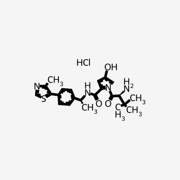 Cc1ncsc1-c1ccc([C@H](C)NC(=O)c2cc(O)cn2C(=O)[C@@H](N)C(C)(C)C)cc1.Cl